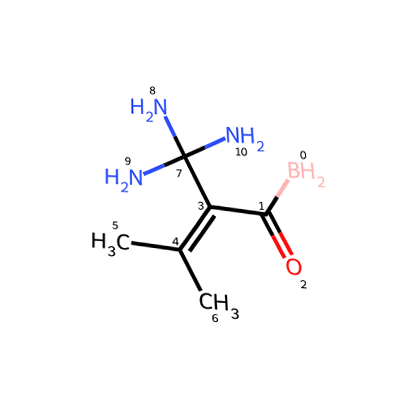 BC(=O)C(=C(C)C)C(N)(N)N